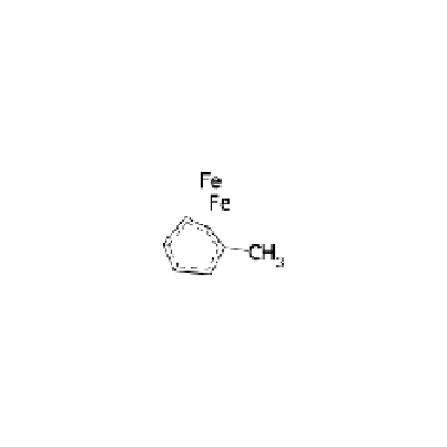 Cc1ccccc1.[Fe].[Fe]